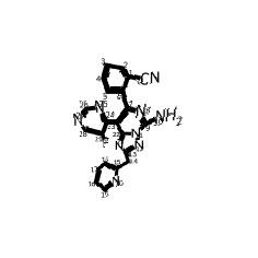 N#Cc1ccccc1-c1nc(N)n2nc(Cc3ccccn3)nc2c1-c1ncncc1F